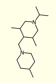 CC1CCN(CC2C(C)CN(C(C)C)CC2C)CC1